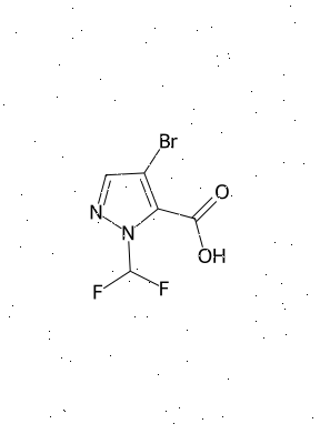 O=C(O)c1c(Br)cnn1C(F)F